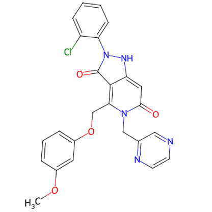 COc1cccc(OCc2c3c(=O)n(-c4ccccc4Cl)[nH]c3cc(=O)n2Cc2cnccn2)c1